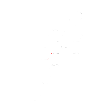 c1ccc(-c2ccc(-c3ccc(N(c4ccccc4-c4ccccc4)c4cccc5sc6c7cnccc7ccc6c45)cc3)cc2)cc1